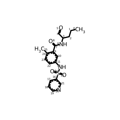 CCCC(C=O)NC(=O)c1cc(NS(=O)(=O)c2cccnc2)ccc1C